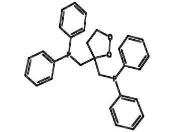 c1ccc(P(CC2(CP(c3ccccc3)c3ccccc3)CCOO2)c2ccccc2)cc1